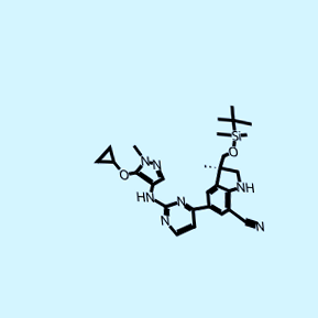 Cn1ncc(Nc2nccc(-c3cc(C#N)c4c(c3)[C@@](C)(CO[Si](C)(C)C(C)(C)C)CN4)n2)c1OC1CC1